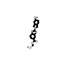 CCOC(=O)c1ccc2nc(-n3cc4ccc(O)cc4c3)sc2c1